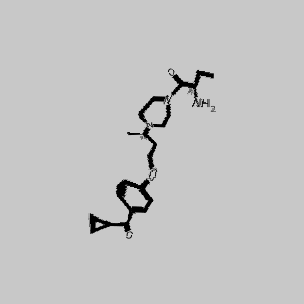 CC[C@@H](N)C(=O)N1CCN([C@H](C)CCOc2ccc(C(=O)C3CC3)cc2)CC1